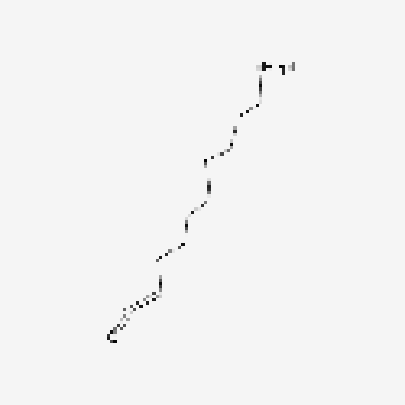 CCCCCCCCCCCCCCCC=C=O